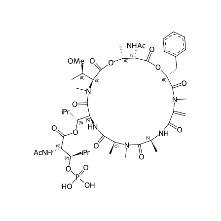 C=C1C(=O)N[C@@H](C)C(=O)N(C)[C@@H](C)C(=O)N[C@@H]([C@H](OC(=O)[C@@H](NC(C)=O)[C@H](OP(=O)(O)O)C(C)C)C(C)C)C(=O)N(C)[C@@H]([C@@H](C)OC)C(=O)O[C@H](C)[C@H](NC(C)=O)C(=O)O[C@H](Cc2ccccc2)C(=O)N1C